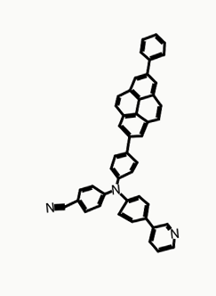 N#Cc1ccc(N(c2ccc(-c3cccnc3)cc2)c2ccc(-c3cc4ccc5cc(-c6ccccc6)cc6ccc(c3)c4c56)cc2)cc1